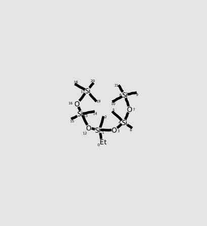 CC[Si](C)(O[Si](C)(C)O[Si](C)(C)C)O[Si](C)(C)O[Si](C)(C)C